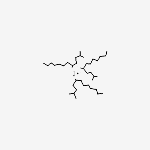 CCCCCCCC(CCC(C)C)OP(=O)(OC(CCCCCCC)CCC(C)C)OC(CCCCCCC)CCC(C)C